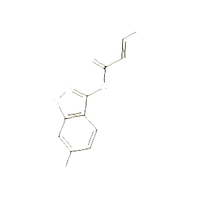 C/C=C/C(=O)Nc1n[nH]c2cc(Br)ccc12